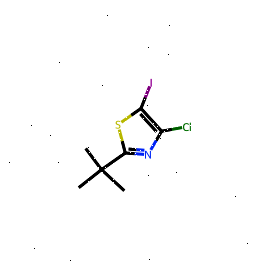 CC(C)(C)c1nc(Cl)c(I)s1